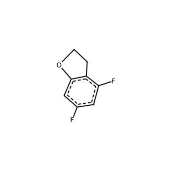 Fc1cc(F)c2c(c1)OCC2